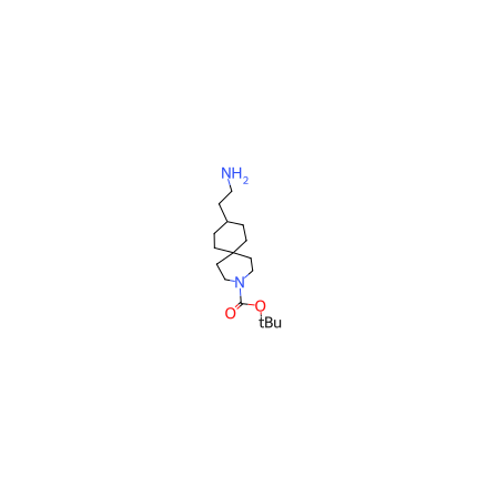 CC(C)(C)OC(=O)N1CCC2(CCC(CCN)CC2)CC1